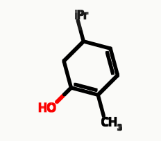 CC1=C(O)CC(C(C)C)C=C1